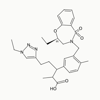 CC[C@@H]1CN(Cc2cc(C(CCc3cn(CC)nn3)C(C)C(=O)O)ccc2C)S(=O)(=O)c2ccccc2O1